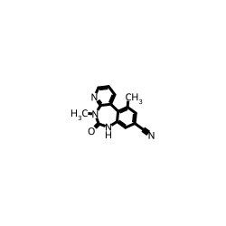 Cc1cc(C#N)cc2c1-c1cccnc1N(C)C(=O)N2